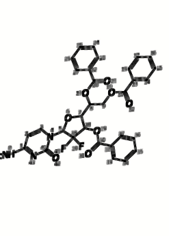 CC(=O)Nc1ccn(C2OC(C(COC(=O)c3ccccc3)OC(=O)c3ccccc3)C(OC(=O)c3ccccc3)C2(F)F)c(=O)n1